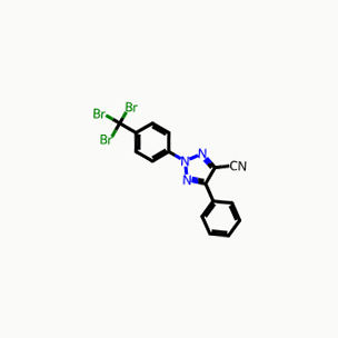 N#Cc1nn(-c2ccc(C(Br)(Br)Br)cc2)nc1-c1ccccc1